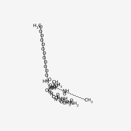 CCCCCCCCCCCCCCCC(=O)NCCCCCC(=O)N[C@H](C(=O)N[C@@H](CCCCNC(=O)CCOCCOCCOCCOCCOCCOCCOCCOCCOCCOCCOCCOC)C(=O)N1CCN(c2ccc3ncn(CC(=O)N[C@@H](CCCNC(N)=O)C(C)=O)c(=O)c3c2)CC1)[C@@H](C)CC